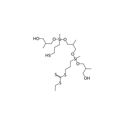 CCSC(=S)SCCC[Si](C)(OCC(C)CO)OCC(C)CO[Si](C)(CCCS)OCC(C)CO